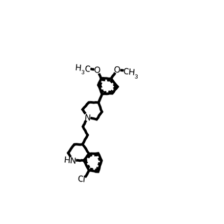 COc1ccc(C2CCN(CCC3CCNc4c(Cl)cccc43)CC2)cc1OC